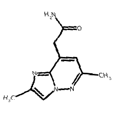 Cc1cn2nc(C)cc(CC(N)=O)c2n1